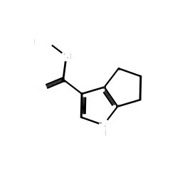 CNC(=O)c1c[nH]c2c1CCC2